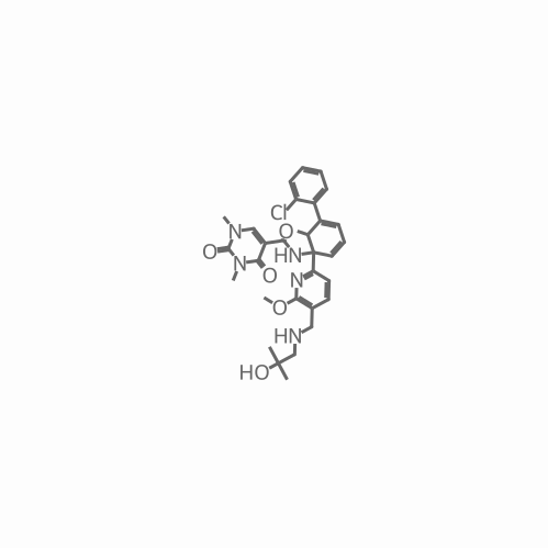 COc1nc(C2(NC(=O)c3cn(C)c(=O)n(C)c3=O)C=CC=C(c3ccccc3Cl)C2C)ccc1CNCC(C)(C)O